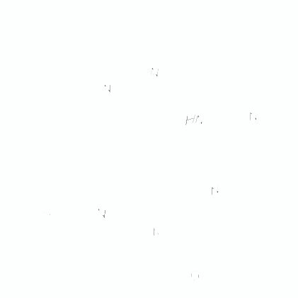 Cc1cn(-c2cccc(C(=O)N3CCN(C(=O)c4cccc(-c5nc6ccccc6[nH]5)n4)CC3)c2)cn1